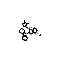 CC1=CC[C]([Hf+2][CH]2C(n3c4c(c5ccccc53)CCCC4)=Cc3ccccc32)=C1C.[Cl-].[Cl-]